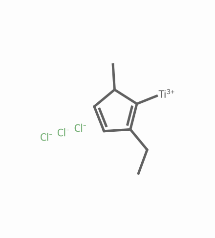 CCC1=[C]([Ti+3])C(C)C=C1.[Cl-].[Cl-].[Cl-]